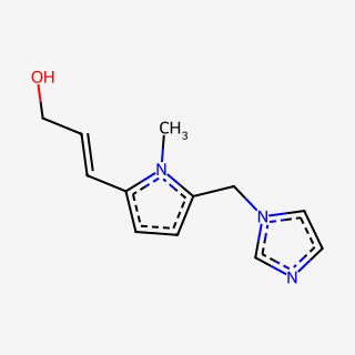 Cn1c(C=CCO)ccc1Cn1ccnc1